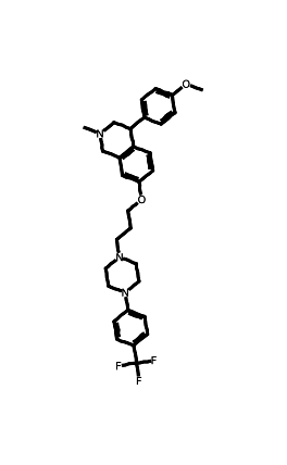 COc1ccc(C2CN(C)Cc3cc(OCCCN4CCN(c5ccc(C(F)(F)F)cc5)CC4)ccc32)cc1